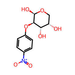 O=[N+]([O-])c1ccc(O[C@@H]2[C@@H](O)[C@@H](O)CO[C@@H]2O)cc1